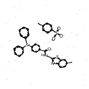 Cc1ccc(S(=O)(=O)[O-])cc1.Cc1ccc2nc(NC(=O)c3ccc([S+](c4ccccc4)c4ccccc4)cc3)sc2c1